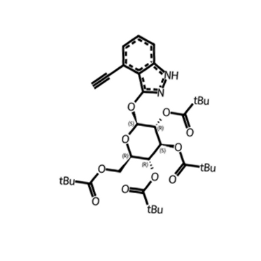 C#Cc1cccc2[nH]nc(O[C@@H]3O[C@H](COC(=O)C(C)(C)C)[C@@H](OC(=O)C(C)(C)C)[C@H](OC(=O)C(C)(C)C)[C@H]3OC(=O)C(C)(C)C)c12